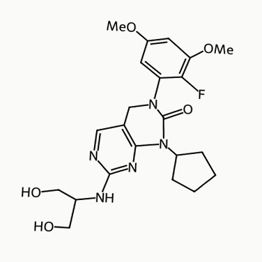 COc1cc(OC)c(F)c(N2Cc3cnc(NC(CO)CO)nc3N(C3CCCC3)C2=O)c1